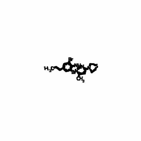 CCCc1cc(Br)c(Nc2nc(C)cc(N3CCSCC3)n2)c(Br)c1